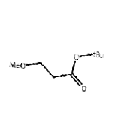 COCCC(=O)OC(C)(C)C